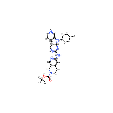 CC1CCC(n2c3cnccc3c3cnc(Nc4cc5c(cn4)CN(C(=O)OC(C)(C)C)CC5)nc32)CC1